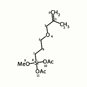 C=C(C)COCCC[Si](OC)(OC(C)=O)OC(C)=O